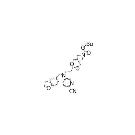 CC(C)(C)OC(=O)N1CC2(COC(CCN(Cc3ccc4c(c3)CCO4)c3ccc(C#N)nc3)OC2)C1